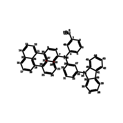 CC(C)(C)c1cccc(N(c2ccc(-c3cccc4cccc(-c5ccccc5)c34)cc2)c2cccc(-n3c4ccccc4c4ccccc43)c2)c1